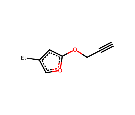 C#CCOc1cc(CC)co1